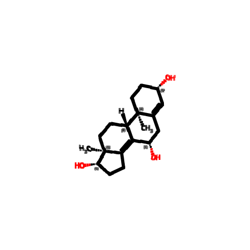 C[C@]12CC[C@H]3C(=C1CC[C@@H]2O)[C@@H](O)CC1=C[C@@H](O)CC[C@@]13C